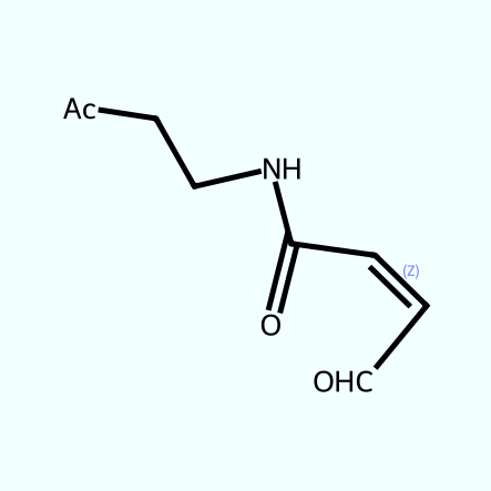 CC(=O)CCNC(=O)/C=C\C=O